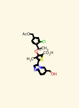 CC(=O)OCc1ccc([C@@H](C)Oc2c(C(=O)O)sc(-c3cnc4ccc(CO)cn34)c2C)c(Cl)c1